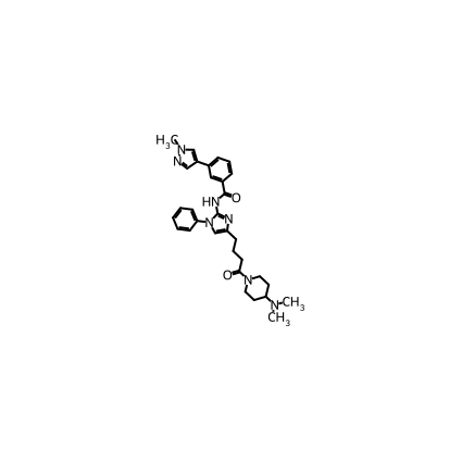 CN(C)C1CCN(C(=O)CCCc2cn(-c3ccccc3)c(NC(=O)c3cccc(-c4cnn(C)c4)c3)n2)CC1